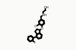 OCCNCc1ccc(OC2CCc3c(-c4ccccc4F)cccc32)c(Cl)c1